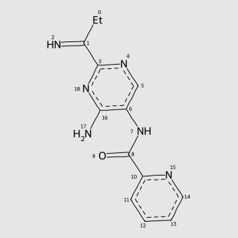 CCC(=N)c1ncc(NC(=O)c2ccccn2)c(N)n1